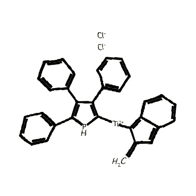 C=C1C=c2ccccc2=[C]1[Ti+2][c]1[pH]c(-c2ccccc2)c(-c2ccccc2)c1-c1ccccc1.[Cl-].[Cl-]